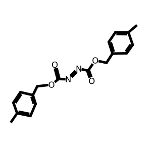 Cc1ccc(COC(=O)N=NC(=O)OCc2ccc(C)cc2)cc1